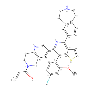 C=CC(=O)N1CCc2ncc(-c3nc(-c4ccc5c(c4)CCNCC5)c4ccsc4c3-c3ccc(F)cc3OC)cc2C1